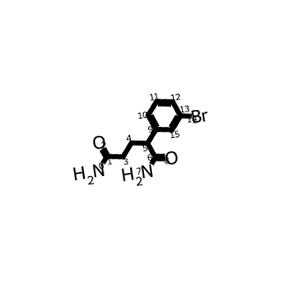 NC(=O)CCC(C(N)=O)c1cccc(Br)c1